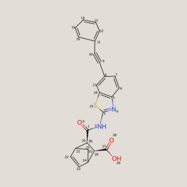 O=C(Nc1nc2ccc(C#Cc3ccccc3)cc2s1)[C@@H]1C2C=CC(C2)[C@@H]1C(=O)O